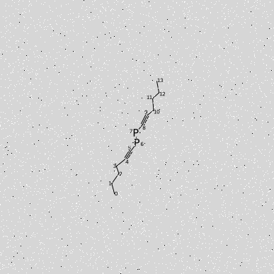 CCCCC#C[P][P]C#CCCCC